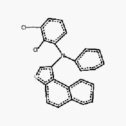 Clc1cccc(N(c2ccccc2)c2csc3ccc4ccccc4c23)c1Cl